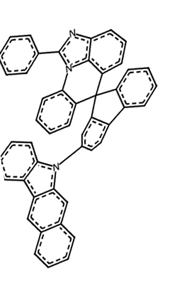 c1ccc(-c2nc3cccc4c3n2-c2ccccc2C42c3ccccc3-c3ccc(-n4c5ccccc5c5cc6ccccc6cc54)cc32)cc1